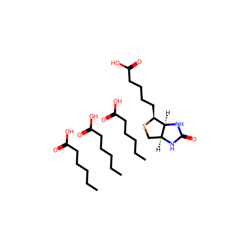 CCCCCC(=O)O.CCCCCC(=O)O.CCCCCC(=O)O.O=C(O)CCCC[C@@H]1SC[C@@H]2NC(=O)N[C@@H]21